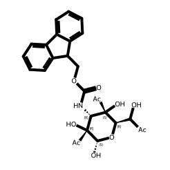 CC(=O)C(O)[C@H]1O[C@H](O)[C@@](O)(C(C)=O)[C@H](NC(=O)OCC2c3ccccc3-c3ccccc32)[C@@]1(O)C(C)=O